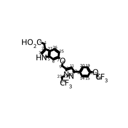 O=C(O)Cc1c[nH]c2cc(OCc3cc(-c4ccc(OC(F)(F)F)cc4)nn3CC(F)(F)F)ccc12